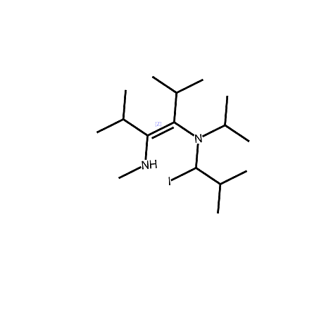 CN/C(=C(/C(C)C)N(C(C)C)C(I)C(C)C)C(C)C